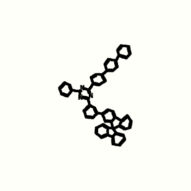 c1ccc(-c2ccc(-c3ccc(-c4nc(-c5ccccc5)nc(-c5cccc(-c6ccc7c(c6)C6(c8ccccc8-c8ccccc86)c6ccccc6-7)c5)n4)cc3)cc2)cc1